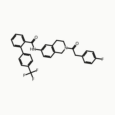 O=C(Nc1ccc2c(c1)CCN(C(=O)Cc1ccc(F)cc1)C2)c1ccccc1-c1ccc(C(F)(F)F)cc1